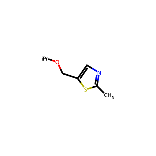 Cc1ncc(COC(C)C)s1